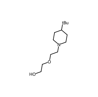 CC(C)(C)C1CCN(CCOCCO)CC1